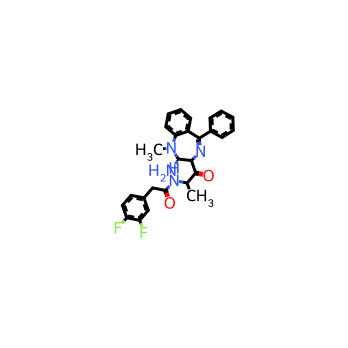 CC(NC(=O)Cc1ccc(F)c(F)c1)C(=O)C1N=C(c2ccccc2)c2ccccc2N(C)[C@@H]1N